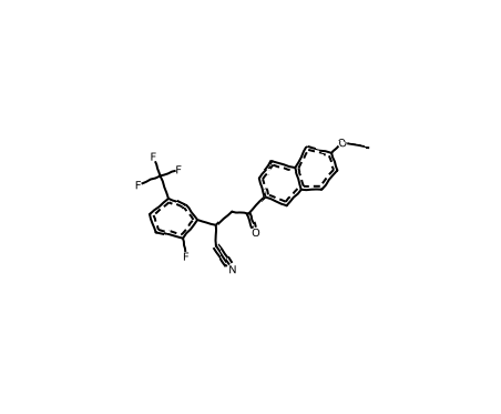 COc1ccc2cc(C(=O)CC(C#N)c3cc(C(F)(F)F)ccc3F)ccc2c1